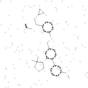 COc1cccc(-c2ccc(COc3cccc([C@H](CC(=O)O)CC4CC4)c3)cc2[C@H]2CCCC2(C)C)c1